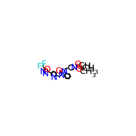 CC(C)(C)OC(=O)N1CCC(Cn2c(=O)n(Cc3ccc(-c4nnc(C(F)F)o4)cn3)c3ccccc32)CC1